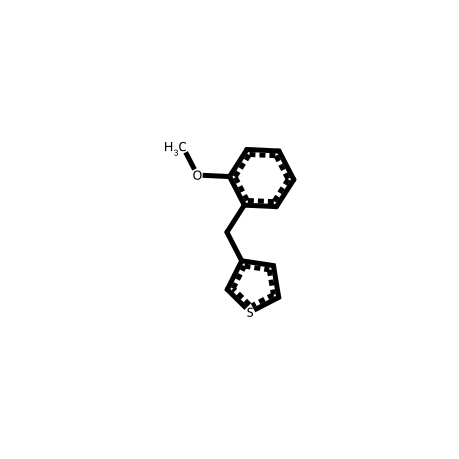 COc1ccccc1Cc1ccsc1